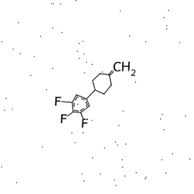 C=C1CCC(c2cc(F)c(F)c(F)c2)CC1